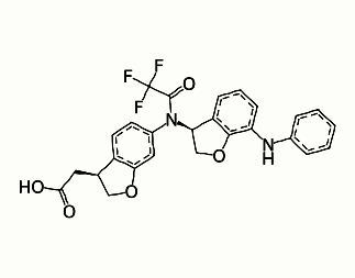 O=C(O)C[C@@H]1COc2cc(N(C(=O)C(F)(F)F)[C@@H]3COc4c(Nc5ccccc5)cccc43)ccc21